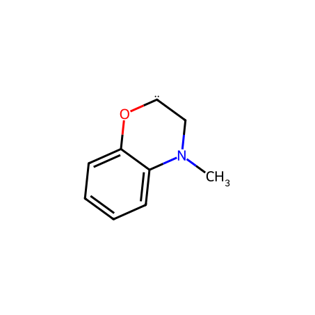 CN1C[C]Oc2ccccc21